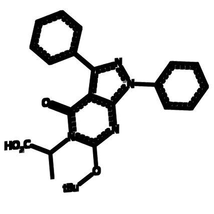 CC(C(=O)O)n1c(OC(C)(C)C)nc2c(c(-c3ccccc3)nn2-c2ccccc2)c1=O